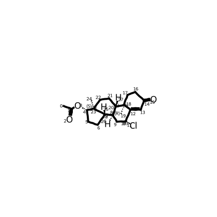 CC(=O)O[C@H]1CC[C@H]2[C@@H]3C[C@@H](Cl)C4=CC(=O)CC[C@]4(C)[C@H]3CC[C@]12C